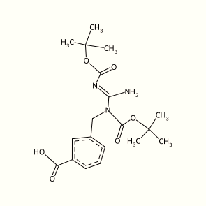 CC(C)(C)OC(=O)N=C(N)N(Cc1cccc(C(=O)O)c1)C(=O)OC(C)(C)C